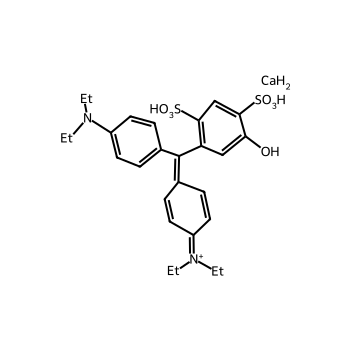 CCN(CC)c1ccc(C(=C2C=CC(=[N+](CC)CC)C=C2)c2cc(O)c(S(=O)(=O)O)cc2S(=O)(=O)O)cc1.[CaH2]